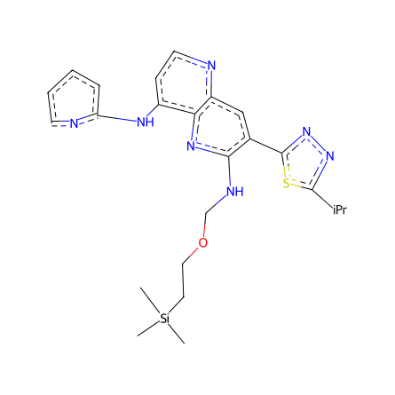 CC(C)c1nnc(-c2cc3nccc(Nc4ccccn4)c3nc2NCOCC[Si](C)(C)C)s1